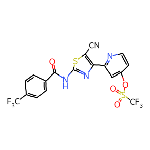 N#Cc1sc(NC(=O)c2ccc(C(F)(F)F)cc2)nc1-c1cc(OS(=O)(=O)C(F)(F)F)ccn1